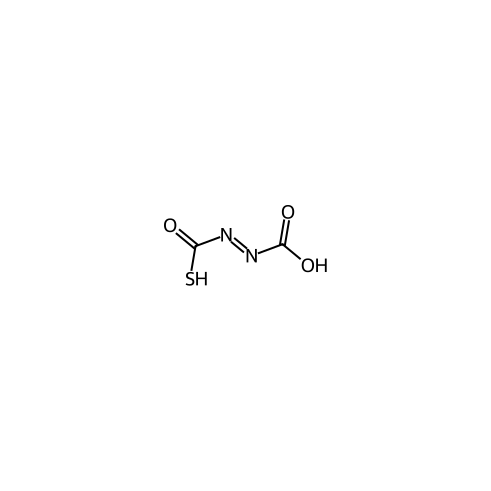 O=C(O)N=NC(=O)S